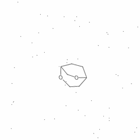 C1CC2CC[C](CO2)O1